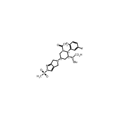 CC(C)(C)N(C(=O)O)[C@H]1C[C@@H](N2Cc3cn(S(C)(=O)=O)nc3C2)CN(C(=O)C(F)(F)F)[C@H]1c1cc(F)ccc1F